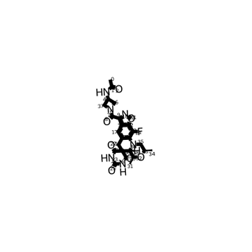 CC(=O)NC1CN(C(=O)c2noc3c(F)c4c(cc23)CC2(C(=O)NC(=O)NC2=O)[C@H]2[C@H](C)O[C@H](C)CN42)C1